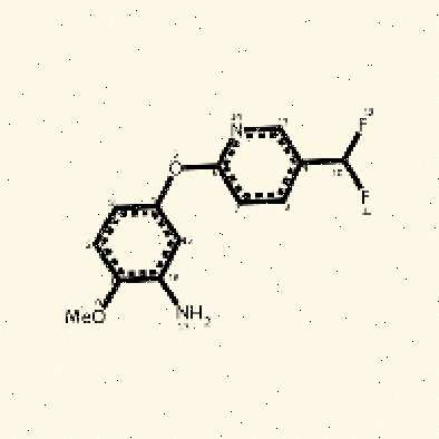 COc1ccc(Oc2ccc(C(F)F)cn2)cc1N